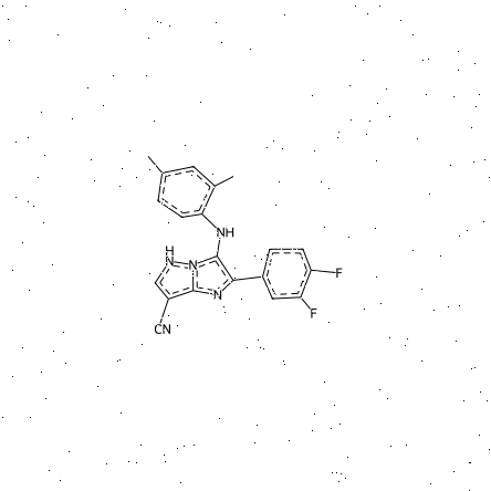 Cc1ccc(Nc2c(-c3ccc(F)c(F)c3)nc3c(C#N)c[nH]n23)c(C)c1